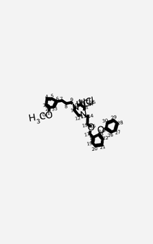 COc1cccc(CCCN2CCN(CCOCc3ccccc3Oc3ccccc3)CC2)c1.Cl.Cl